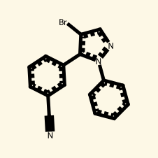 N#Cc1cccc(-c2c(Br)cnn2-c2ccccc2)c1